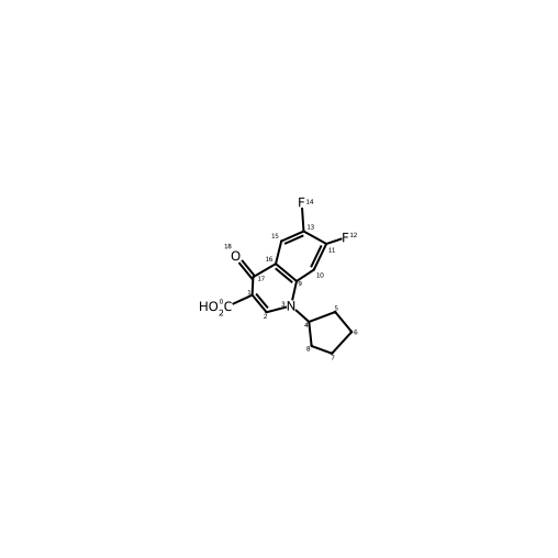 O=C(O)c1cn(C2CCCC2)c2cc(F)c(F)cc2c1=O